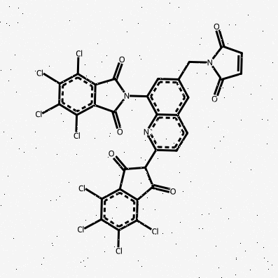 O=C1c2c(Cl)c(Cl)c(Cl)c(Cl)c2C(=O)C1c1ccc2cc(CN3C(=O)C=CC3=O)cc(N3C(=O)c4c(Cl)c(Cl)c(Cl)c(Cl)c4C3=O)c2n1